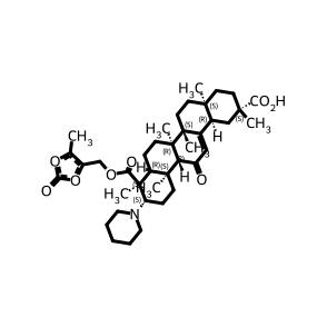 Cc1oc(=O)oc1COC(=O)[C@]1(C)[C@@H](N2CCCCC2)CC[C@@]2(C)[C@H]1CC[C@]1(C)[C@@H]2C(=O)C=C2[C@@H]3C[C@@](C)(C(=O)O)CC[C@]3(C)CC[C@]21C